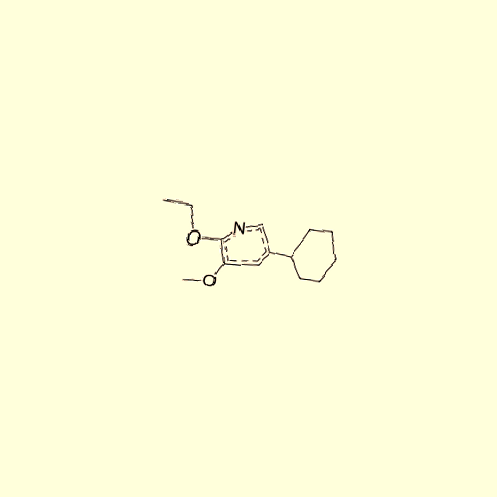 CCOc1ncc(C2CCCCC2)cc1OC